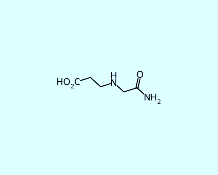 NC(=O)CNCCC(=O)O